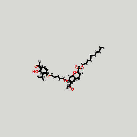 CCCCCCCCCCOC(=O)C1CCc2cc(C(C)=O)c(OCCCCCOc3ccc(C(C)=O)c(O)c3C(C)C)cc2O1